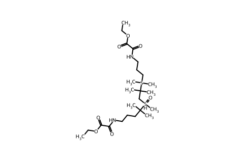 CCOC(=O)C(=O)NCCCC(C)(C)[SH](C)(=O)CC(C)(C)S(C)(C)CCCNC(=O)C(=O)OCC